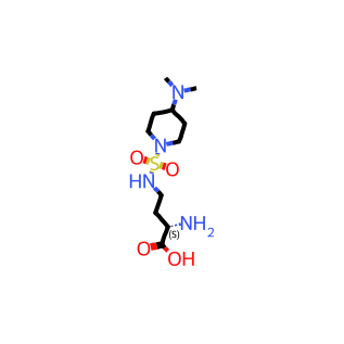 CN(C)C1CCN(S(=O)(=O)NCC[C@H](N)C(=O)O)CC1